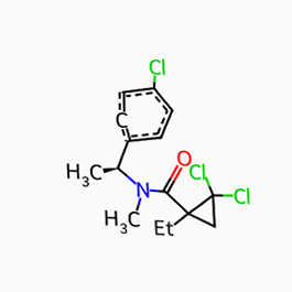 CCC1(C(=O)N(C)[C@@H](C)c2ccc(Cl)cc2)CC1(Cl)Cl